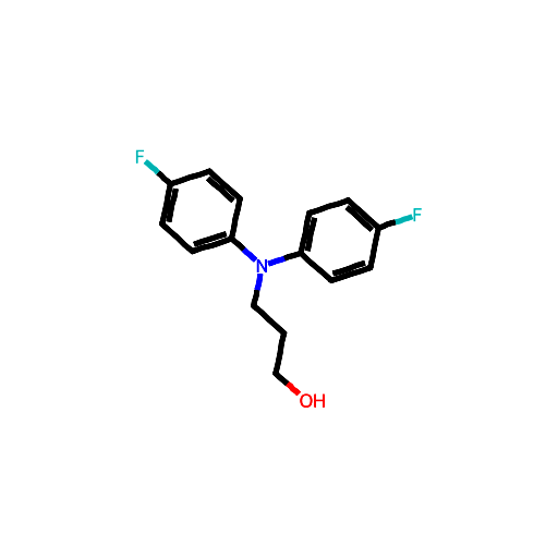 OCCCN(c1ccc(F)cc1)c1ccc(F)cc1